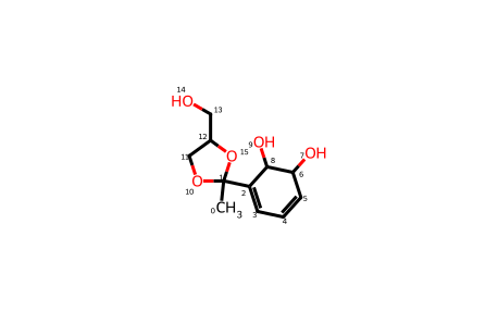 CC1(C2=CC=CC(O)C2O)OCC(CO)O1